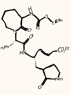 CCC[C@@H](C(=O)N[C@H](/C=C/C(=O)OCC)CC1CCNC1=O)N1CCCCC(NC(=O)OC(C)(C)C)C1=O